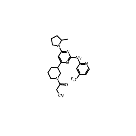 CC1CCCN1c1cc(C2CCCN(C(=O)CC#N)C2)nc(Nc2cc(C(F)(F)F)ccn2)n1